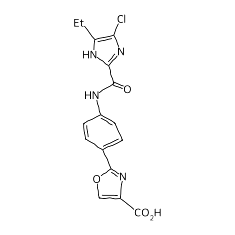 CCc1[nH]c(C(=O)Nc2ccc(-c3nc(C(=O)O)co3)cc2)nc1Cl